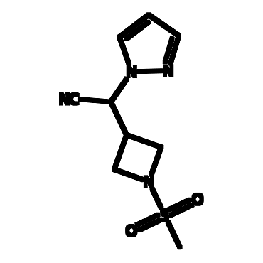 CS(=O)(=O)N1CC(C(C#N)n2cccn2)C1